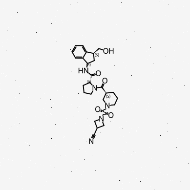 N#CC1CN(S(=O)(=O)N2CCC[C@H](C(=O)N3CCC[C@@H]3C(=O)N[C@@H]3C[C@H](CO)c4ccccc43)C2)C1